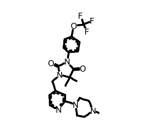 CN1CCN(c2cc(CN3C(=O)N(c4ccc(OC(F)(F)F)cc4)C(=O)C3(C)C)ccn2)CC1